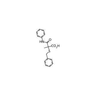 CC(SCc1ccccc1)(C(=O)O)C(=O)Nc1ccccc1